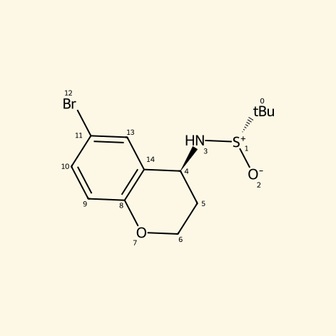 CC(C)(C)[S@+]([O-])N[C@H]1CCOc2ccc(Br)cc21